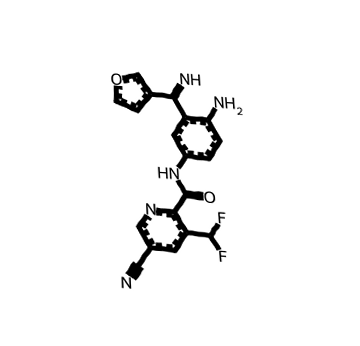 N#Cc1cnc(C(=O)Nc2ccc(N)c(C(=N)c3ccoc3)c2)c(C(F)F)c1